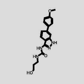 COc1ccc(-c2ccc3c(NC(=O)NCCCO)n[nH]c3c2)cc1